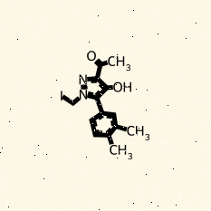 CC(=O)c1nn(CI)c(-c2ccc(C)c(C)c2)c1O